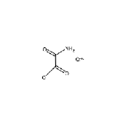 NC(=O)C(=O)[O-].[Cr+]